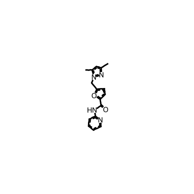 Cc1cc(C)n(Cc2ccc(C(=O)Nc3ccccn3)o2)n1